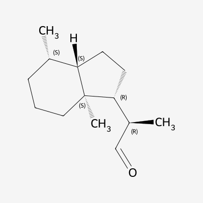 C[C@@H](C=O)[C@H]1CC[C@H]2[C@@H](C)CCC[C@]12C